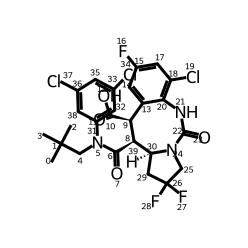 CC(C)(C)CN(C(=O)[C@H]1[C@@H](C(=O)O)c2cc(F)cc(Cl)c2NC(=O)N2CC(F)(F)C[C@@H]12)c1cc(Cl)cc(Cl)c1